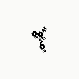 COc1ccccc1-c1cc(C(=O)NCCc2ccc(N(C)C)cc2)cc(-n2cnnn2)c1